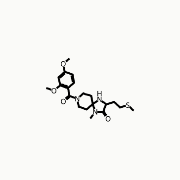 COc1ccc(C(=O)N2CCC3(CC2)NC(CCSC)C(=O)N3C)c(OC)c1